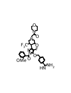 COc1ccccc1C(=O)n1nc(C2C(=O)CN(CC(=O)N3CCOCC3)CC2C(F)(F)F)c(F)c1OCc1ccc(C(=N)N)cc1